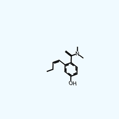 C=C(c1ccc(O)cc1/C=C\CC)N(C)C